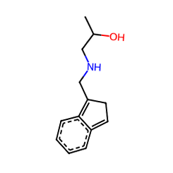 CC(O)CNCC1=c2ccccc2=CC1